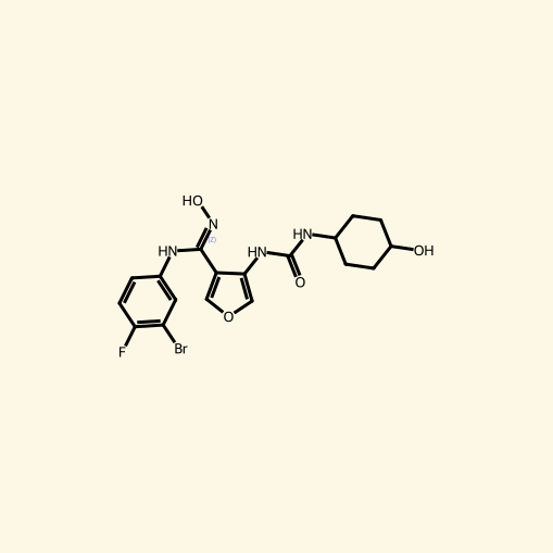 O=C(Nc1cocc1/C(=N/O)Nc1ccc(F)c(Br)c1)NC1CCC(O)CC1